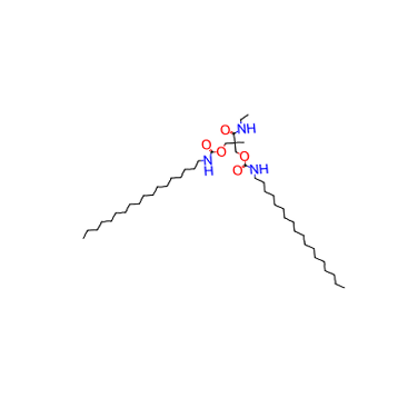 CCCCCCCCCCCCCCCCCCNC(=O)OCC(C)(COC(=O)NCCCCCCCCCCCCCCCCCC)C(=O)NCC